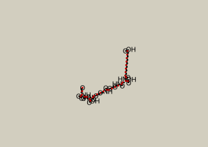 O=CCC[C@H](NC(=O)CC[C@H](NC(=O)COCCOCCNC(=O)COCCOCCNC(=O)CC[C@H](NC(=O)CCCCCCCCCCCCCCC(=O)O)C(=O)O)C(=O)O)C(=O)O